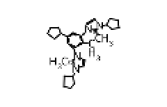 Cc1c(N2C=CN(C3CCCC3)[C@@H]2C)cc(C2CCCC2)cc1N1C=CN(C2CCCC2)[C@H]1C